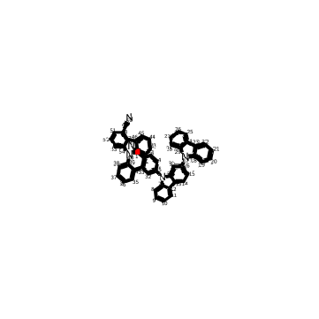 N#Cc1ccc(-n2c3ccccc3c3ccc(-n4c5ccccc5c5ccccc54)cc32)cc1-c1ccccc1-n1c2ccccc2c2c(C#N)cccc21